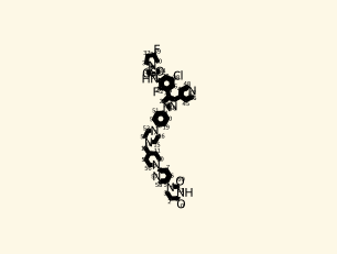 O=C1CCN(c2ccc(N3CCC(CN4CCN(c5ccc(-n6cc(-c7cc(Cl)cc(NS(=O)(=O)N8CC[C@@H](F)C8)c7F)c(-c7ccncc7)n6)cc5)CC4)CC3)nc2)C(=O)N1